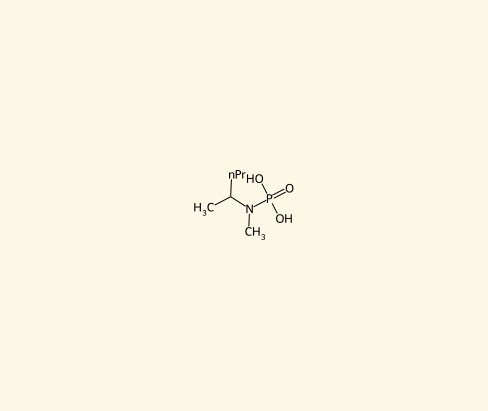 CCCC(C)N(C)P(=O)(O)O